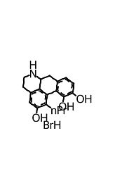 Br.CCCc1c(O)cc2c3c1-c1c(ccc(O)c1O)CC3NCC2